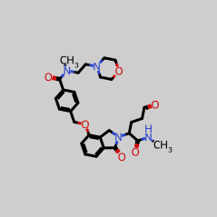 CNC(=O)C(CCC=O)N1Cc2c(OCc3ccc(C(=O)N(C)CCN4CCOCC4)cc3)cccc2C1=O